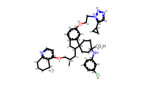 C[C@@H](COc1ccnc2c1[C@H](C)CCC2)CC1Cc2ccc(OCCn3nncc3C3CC3)cc2C12CCC(Nc1cccc(Cl)c1)(C(=O)O)CC2